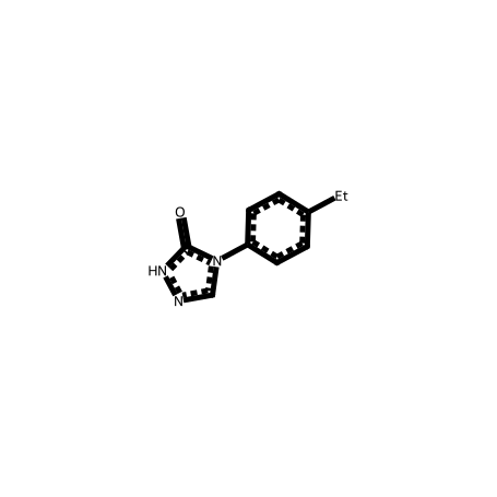 CCc1ccc(-n2cn[nH]c2=O)cc1